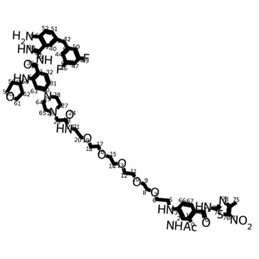 CC(=O)Nc1cc(NCCOCCOCCOCCOCCOCCNC(=O)CN2CCN(c3ccc(C(=O)NC(=N)c4cc(Cc5cc(F)cc(F)c5)ccc4N)c(NC4CCOCC4)c3)CC2)ccc1C(=O)Nc1nc(C)c([N+](=O)[O-])s1